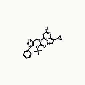 CC(C)(C)OC(=O)N(Cc1cn(-c2ccccn2)cn1)c1cc(Cl)nc2c(C3CC3)cnn12